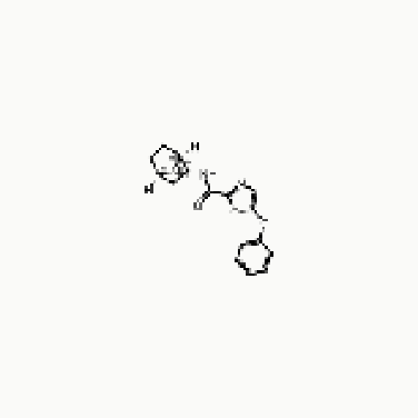 O=C(N[C@@H]1C[C@H]2CC[C@@H]1N2)c1ncc(Oc2ccccc2)o1